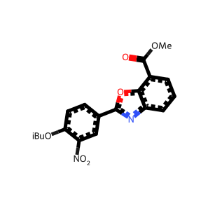 COC(=O)c1cccc2nc(-c3ccc(OCC(C)C)c([N+](=O)[O-])c3)oc12